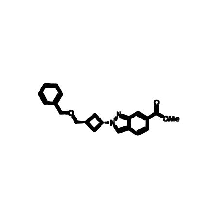 COC(=O)c1ccc2cn([C@H]3C[C@H](COCc4ccccc4)C3)nc2c1